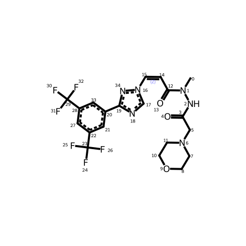 CN(NC(=O)CN1CCOCC1)C(=O)/C=C\n1cnc(-c2cc(C(F)(F)F)cc(C(F)(F)F)c2)n1